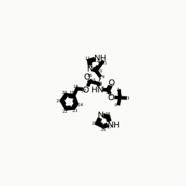 CC(C)(C)OC(=O)N[C@@H](Cc1c[nH]cn1)C(=O)OCc1ccccc1.c1c[nH]cn1